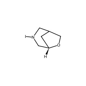 IN1CC2CO[C@@H](C2)C1